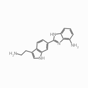 NCCc1c[nH]c2cc(-c3nc4c(N)cccc4[nH]3)ccc12